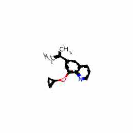 C=C(C)c1cc(OC2CC2)c2ncccc2c1